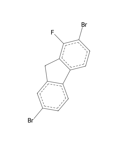 Fc1c(Br)ccc2c1Cc1cc(Br)ccc1-2